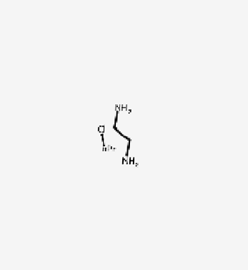 CCCCl.NCCN